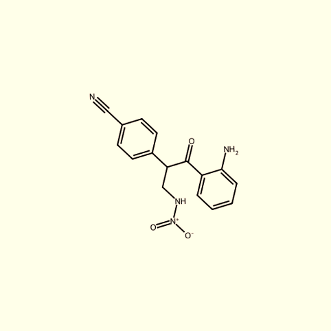 N#Cc1ccc(C(CN[N+](=O)[O-])C(=O)c2ccccc2N)cc1